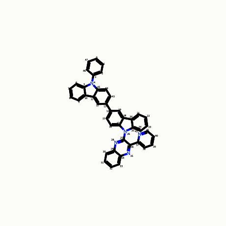 c1ccc(-n2c3ccccc3c3cc(-c4ccc5c(c4)c4ccccc4n5-c4nc5ccccc5nc4-c4ccccn4)ccc32)cc1